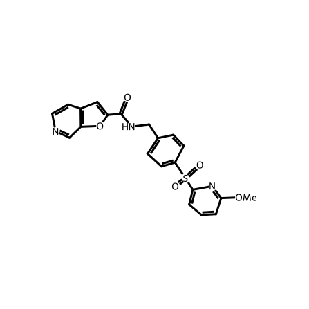 COc1cccc(S(=O)(=O)c2ccc(CNC(=O)c3cc4ccncc4o3)cc2)n1